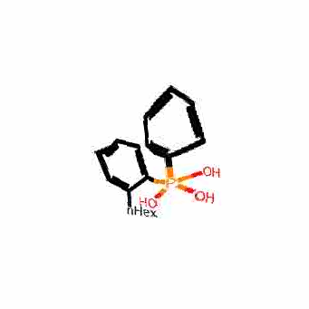 CCCCCCc1ccccc1P(O)(O)(O)c1ccccc1